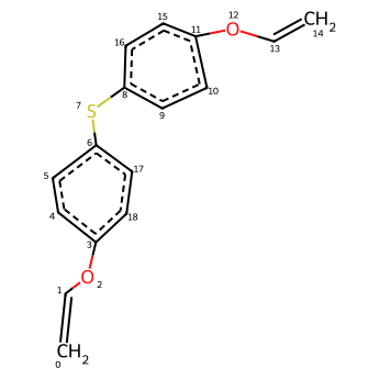 C=COc1ccc(Sc2ccc(OC=C)cc2)cc1